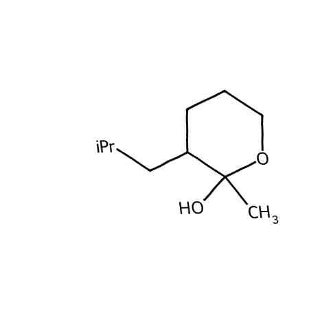 CC(C)CC1CCCOC1(C)O